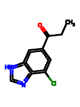 CCC(=O)c1cc(Cl)c2nc[nH]c2c1